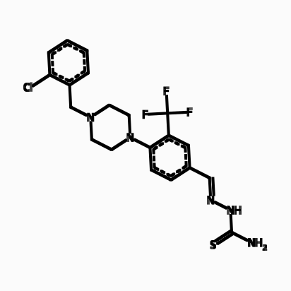 NC(=S)N/N=C/c1ccc(N2CCN(Cc3ccccc3Cl)CC2)c(C(F)(F)F)c1